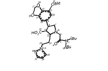 CCCCN(CCCC)C(=O)CN1CC(c2cc(OC)c3c(c2)OCO3)C(C(=O)O)C1CCn1cccn1